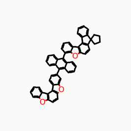 c1ccc2c(c1)-c1c(ccc3oc4c(-c5c6ccccc6c(-c6ccc7c(c6)oc6ccc8oc9ccccc9c8c67)c6ccccc56)cccc4c13)C21CCCC1